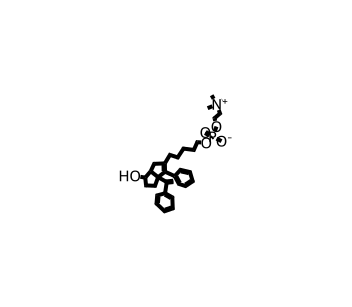 C=C(c1ccccc1)C12CCC(O)C1CC(CCCCCOP(=O)([O-])OCC[N+](C)(C)C)=C2c1ccccc1